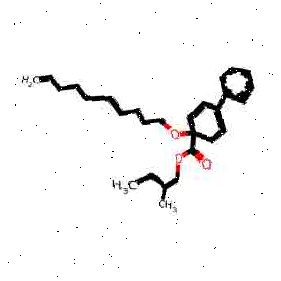 C=CCCCCCCCCOC1(C(=O)OCC(C)CC)C=CC(c2ccccc2)=CC1